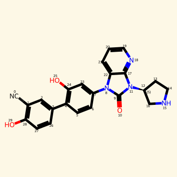 N#Cc1cc(-c2ccc(-n3c(=O)n([C@H]4CCNC4)c4ncccc43)cc2O)ccc1O